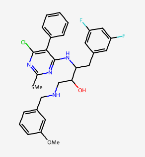 COc1cccc(CNCC(O)C(Cc2cc(F)cc(F)c2)Nc2nc(SC)nc(Cl)c2-c2ccccc2)c1